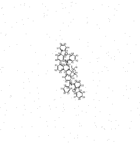 CC(C)(C)C1(C(C)(C)C)c2cc(N(c3ccccc3)c3cccc4c3oc3ccccc34)ccc2-c2c1cc(N(c1ccccc1)c1cccc3c1oc1ccccc13)c1ccccc21